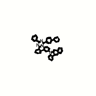 c1ccc(-c2ccc(-c3nc(-c4ccccc4)nc(-c4ccccc4-c4cccc(-n5c6ccccc6c6cc7ccccc7cc65)c4)n3)cc2)cc1